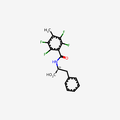 Cc1c(F)c(F)c(C(=O)N[C@@H](Cc2ccccc2)C(=O)O)c(F)c1F